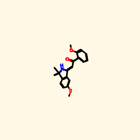 COc1ccc2c(c1)/C(=C/C(=O)c1ccccc1OC)NC2(C)C